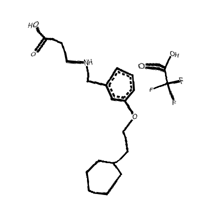 O=C(O)C(F)(F)F.O=C(O)CCNCc1cccc(OCCC2CCCCC2)c1